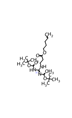 C=CCCCOC(=O)CCN/C(=N\C(=O)OC(C)(C)C)NC(=O)OC(C)(C)C